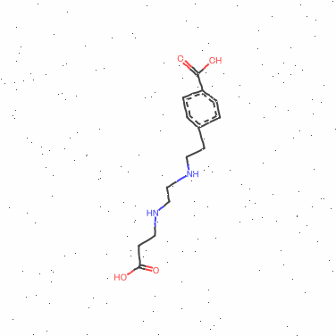 O=C(O)CCNCCNCCc1ccc(C(=O)O)cc1